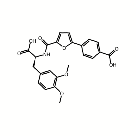 COc1ccc(C[C@H](NC(=O)c2ccc(-c3ccc(C(=O)O)cc3)o2)C(=O)O)cc1OC